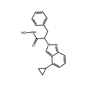 O=C(NO)C(Cc1ccccc1)n1cc2c(C3CC3)cccc2n1